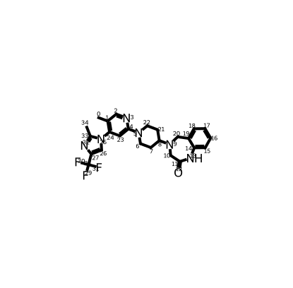 Cc1cnc(N2CCC(N3CC(=O)Nc4ccccc4C3)CC2)cc1-n1cc(C(F)(F)F)nc1C